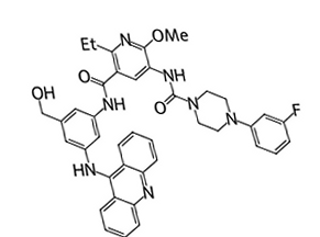 CCc1nc(OC)c(NC(=O)N2CCN(c3cccc(F)c3)CC2)cc1C(=O)Nc1cc(CO)cc(Nc2c3ccccc3nc3ccccc23)c1